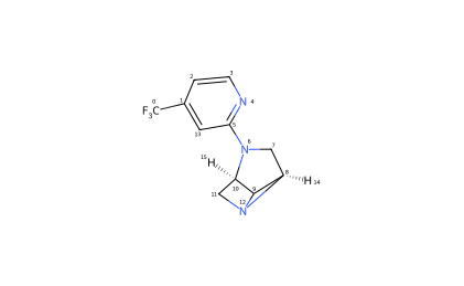 FC(F)(F)c1ccnc(N2C[C@@H]3C4[C@H]2CN43)c1